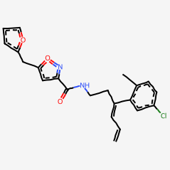 C=C/C=C(/CCNC(=O)c1cc(Cc2ccco2)on1)c1cc(Cl)ccc1C